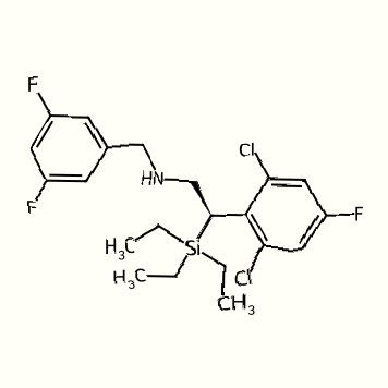 CC[Si](CC)(CC)[C@@H](CNCc1cc(F)cc(F)c1)c1c(Cl)cc(F)cc1Cl